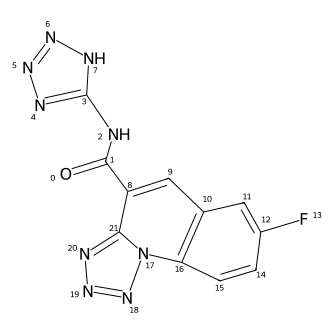 O=C(Nc1nnn[nH]1)c1cc2cc(F)ccc2n2nnnc12